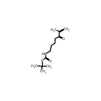 C=C(C)C(=O)CCCCNC(=O)OC(C)(C)C